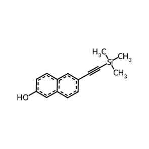 C[Si](C)(C)C#Cc1ccc2cc(O)ccc2c1